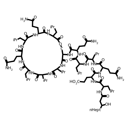 CCCCCCCC(O)CC(=O)NC(CC(C)C)C(=O)NC(CCC(=O)O)C(=O)NC(CCC(N)=O)C(=O)NC(C(=O)NC(CC(C)C)C(=O)NC(CCC(N)=O)C(=O)NC1COC(=O)C(CC(C)C)NC(=O)C(CCC(N)=O)NC(=O)C(CC(C)C)NC(=O)C(CCC(N)=O)NC(=O)C(CC(C)C)NC(=O)C(C(C)C)NC(=O)C(C(C)C)NC1=O)C(C)C